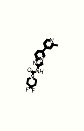 Cc1cc(-c2ccc3nc(NC(=O)N4CCC(F)(F)CC4)cn3c2)ccn1